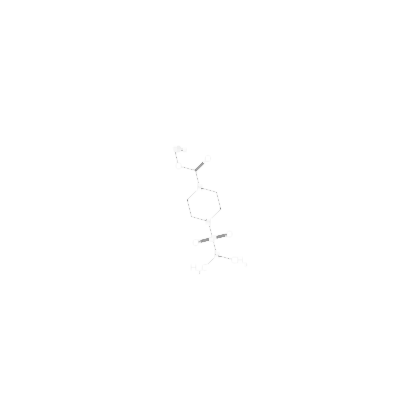 CN(C)S(=O)(=O)N1CCN(C(=O)OC(C)(C)C)CC1